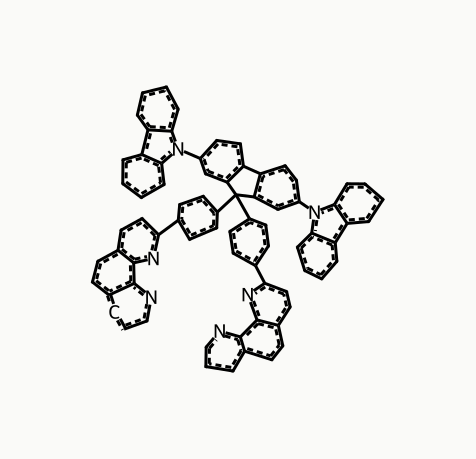 c1cnc2c(c1)ccc1ccc(-c3ccc(C4(c5ccc(-c6ccc7ccc8cccnc8c7n6)cc5)c5cc(-n6c7ccccc7c7ccccc76)ccc5-c5ccc(-n6c7ccccc7c7ccccc76)cc54)cc3)nc12